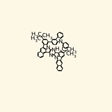 CC(C)(C)c1cc(-c2ccc3c(c2)c2ccccc2n3-c2ccccc2)c2c(c1)c1cc3ccccc3c3c4nc5c(nc4n2c13)c1cc(C(C)(C)C)cc2c3cc4ccccc4cc3n5c21